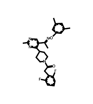 C/C(=N\Oc1cc(C)cc(C)c1)c1cnc(C)nc1C1CCN(C(=O)Cc2c(F)cccc2F)CC1